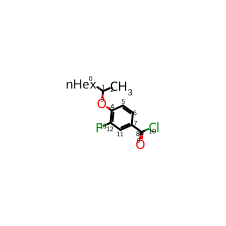 CCCCCCC(C)Oc1ccc(C(=O)Cl)cc1F